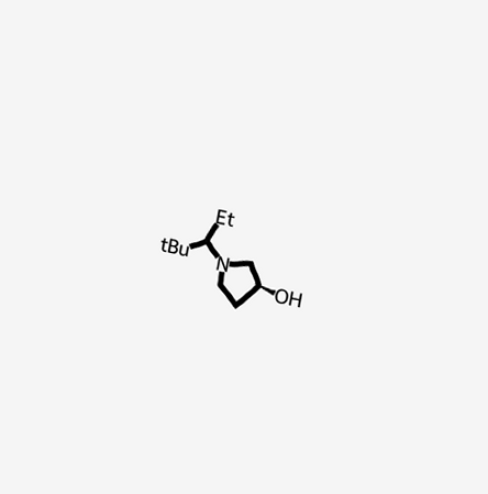 CCC(N1CC[C@H](O)C1)C(C)(C)C